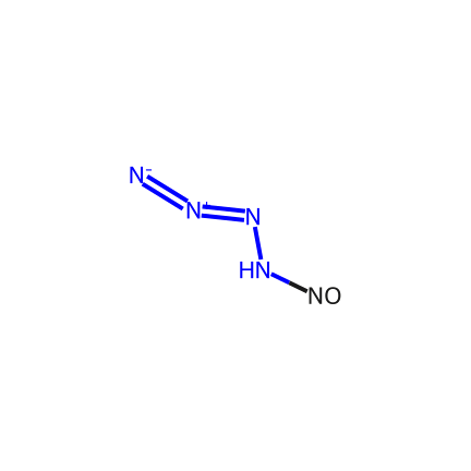 [N-]=[N+]=NNN=O